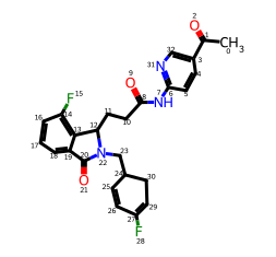 CC(=O)c1ccc(NC(=O)CCC2c3c(F)cccc3C(=O)N2CC2C=CC(F)=CC2)nc1